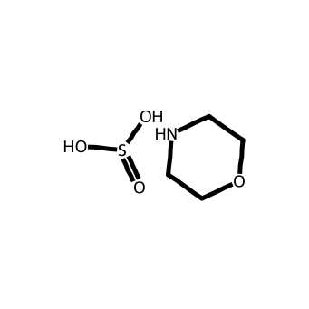 C1COCCN1.O=S(O)O